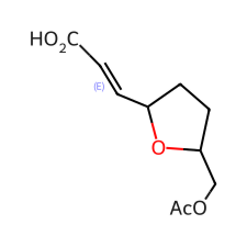 CC(=O)OCC1CCC(/C=C/C(=O)O)O1